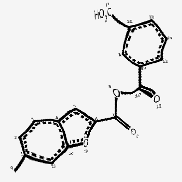 Cc1ccc2cc(C(=O)OC(=O)c3cccc(C(=O)O)c3)oc2c1